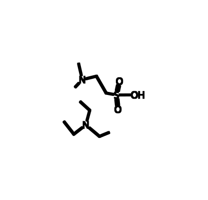 CCN(CC)CC.CN(C)CCS(=O)(=O)O